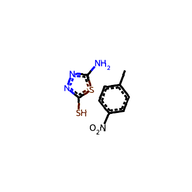 Cc1ccc([N+](=O)[O-])cc1.Nc1nnc(S)s1